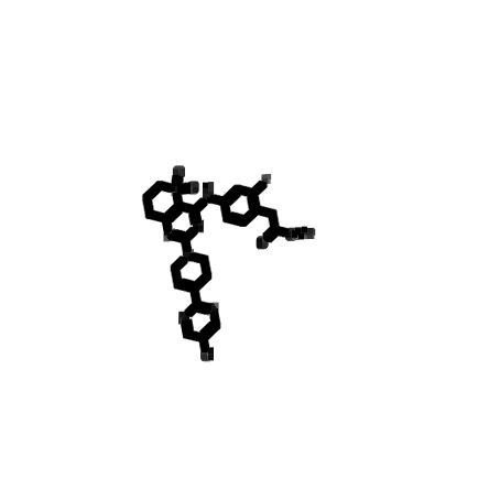 COC(=O)Cc1ccc(Nc2nc(N3CC=C(c4ncc(Cl)cn4)CC3)nc3c2S(=O)(=O)CCC3)cc1F